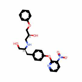 O=[N+]([O-])c1cccnc1Oc1ccc(C[C@@H](CO)NC[C@H](O)COc2ccccc2)cc1